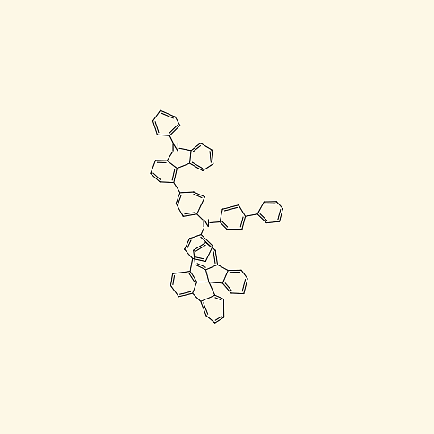 c1ccc(-c2ccc(N(c3ccc(-c4cccc5c4C4(c6ccccc6-c6ccccc64)c4ccccc4-5)cc3)c3ccc(-c4cccc5c4c4ccccc4n5-c4ccccc4)cc3)cc2)cc1